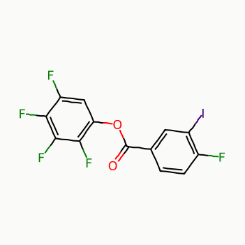 O=C(Oc1cc(F)c(F)c(F)c1F)c1ccc(F)c(I)c1